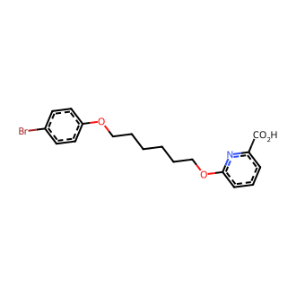 O=C(O)c1cccc(OCCCCCCOc2ccc(Br)cc2)n1